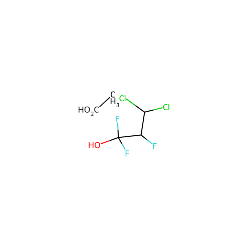 CC(=O)O.OC(F)(F)C(F)C(Cl)Cl